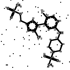 CS(=O)(=O)OCc1nc(C(F)(F)F)c(-c2cc(NC3CCN(S(C)(=O)=O)CC3)ncc2F)s1